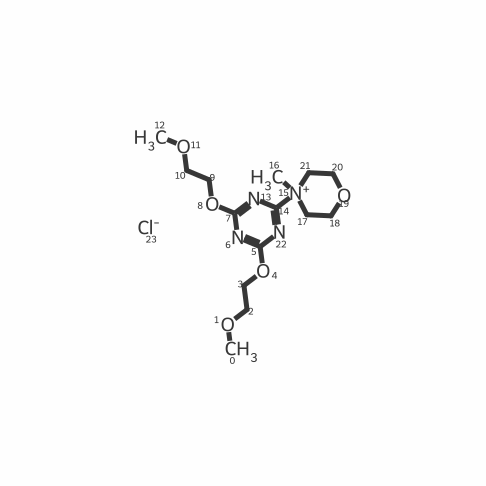 COCCOc1nc(OCCOC)nc([N+]2(C)CCOCC2)n1.[Cl-]